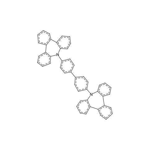 c1ccc2c(c1)-c1ccccc1N(c1ccc(-c3ccc(N4c5ccccc5-c5ccccc5-c5ccccc54)cc3)cc1)c1ccccc1-2